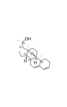 C[C@H](O)[C@H]1CC[C@H]2[C@@H]3CC=C4C=CCC[C@]4(C)[C@H]3CC[C@]12C